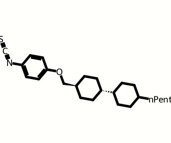 CCCCCC1CCC([C@H]2CC[C@H](COc3ccc(N=C=S)cc3)CC2)CC1